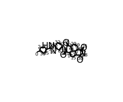 Cc1ccc(-c2nc3cc(N4C(=O)c5ccc6c7c(ccc(c57)C4=O)C(=O)N(C)C6=O)ccc3[nH]2)cc1